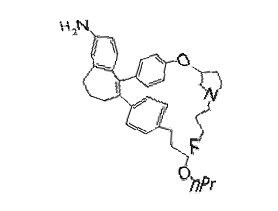 CCCOCCCc1ccc(C2=C(c3ccc(OC4CCN(CCCF)C4)cc3)c3ccc(N)cc3CCC2)cc1